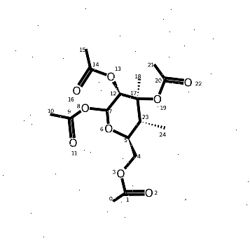 CC(=O)OC[C@H]1OC(OC(C)=O)[C@@H](OC(C)=O)[C@@](C)(OC(C)=O)[C@@H]1C